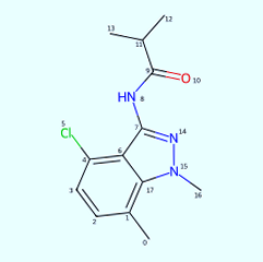 Cc1ccc(Cl)c2c(NC(=O)C(C)C)nn(C)c12